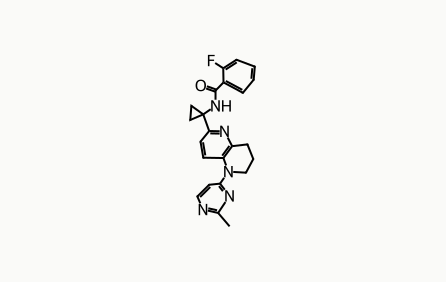 Cc1nccc(N2CCCc3nc(C4(NC(=O)c5ccccc5F)CC4)ccc32)n1